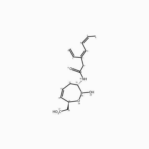 C=C/C(=C\C=C/C)CC(=O)N[C@H]1CC=C[C@H](CC(=O)O)OB1O